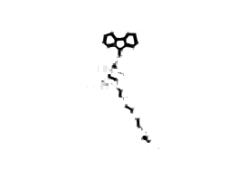 CC(C)(C)OC(=O)NCCOCCOCCNC(=O)[C@H](CS(=O)(=O)O)NC(=O)OCC1c2ccccc2-c2ccccc21